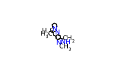 C=C1NC(C)=Nc2cc3c(cc21)N=C(N1CCCCC1)C(C)(C)C3